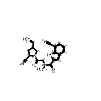 C=CC1CC(C#N)N(C(=O)CN(C)C(=O)c2cc3cccc(C#N)c3[nH]2)C1